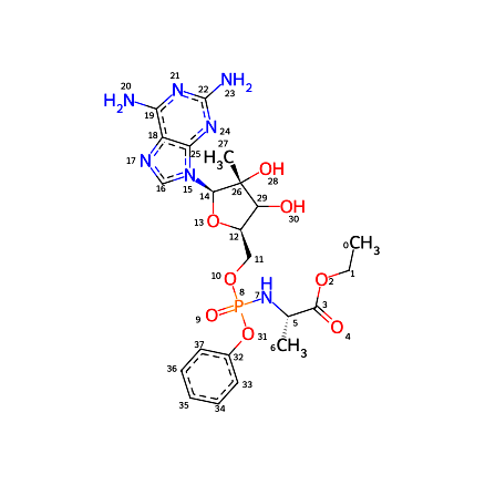 CCOC(=O)[C@H](C)NP(=O)(OC[C@H]1O[C@@H](n2cnc3c(N)nc(N)nc32)[C@](C)(O)C1O)Oc1ccccc1